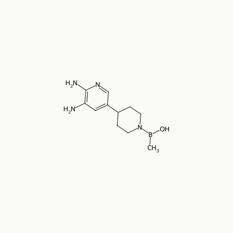 CB(O)N1CCC(c2cnc(N)c(N)c2)CC1